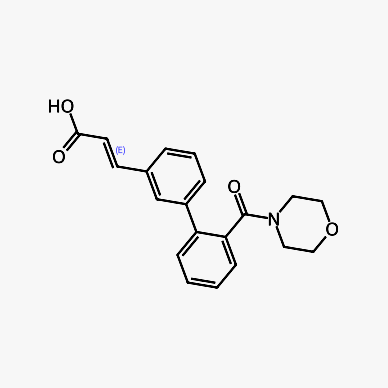 O=C(O)/C=C/c1cccc(-c2ccccc2C(=O)N2CCOCC2)c1